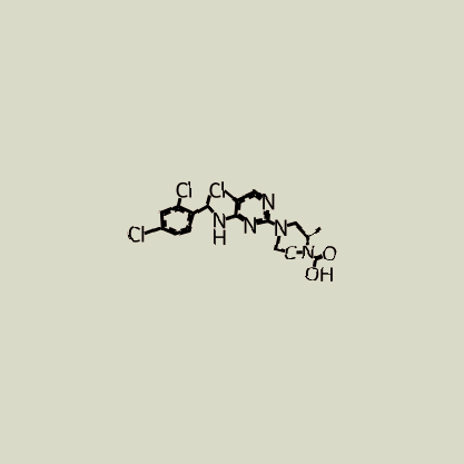 CC(Nc1nc(N2CCN(C(=O)O)[C@H](C)C2)ncc1Cl)c1ccc(Cl)cc1Cl